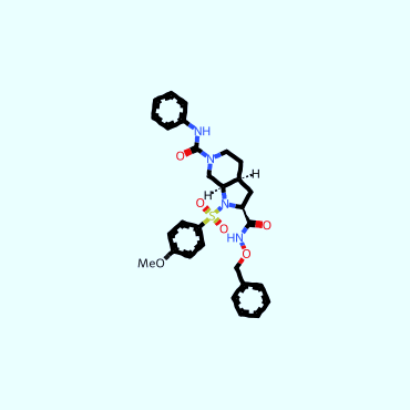 COc1ccc(S(=O)(=O)N2[C@H](C(=O)NOCc3ccccc3)C[C@@H]3CCN(C(=O)Nc4ccccc4)C[C@@H]32)cc1